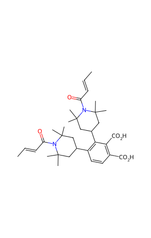 C/C=C/C(=O)N1C(C)(C)CC(c2ccc(C(=O)O)c(C(=O)O)c2C2CC(C)(C)N(C(=O)/C=C/C)C(C)(C)C2)CC1(C)C